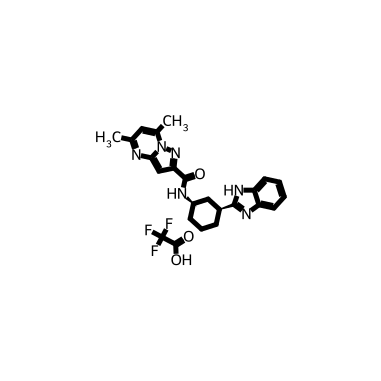 Cc1cc(C)n2nc(C(=O)N[C@@H]3CCC[C@H](c4nc5ccccc5[nH]4)C3)cc2n1.O=C(O)C(F)(F)F